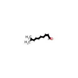 CC(C)CCCCC/C=C\C=O